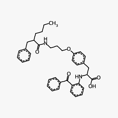 CCCCC(Cc1ccccc1)C(=O)NCCCOc1ccc(CC(Nc2ccccc2C(=O)c2ccccc2)C(=O)O)cc1